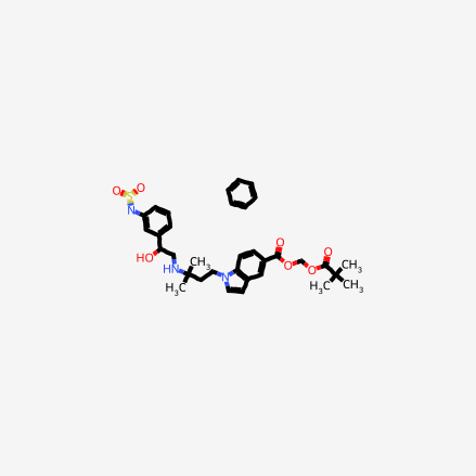 CC(C)(CCn1ccc2cc(C(=O)OCOC(=O)C(C)(C)C)ccc21)NCC(O)c1cccc(N=S(=O)=O)c1.c1ccccc1